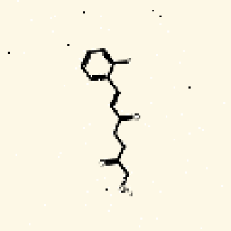 CCC(=O)CCC(=O)/C=C/c1ccccc1F